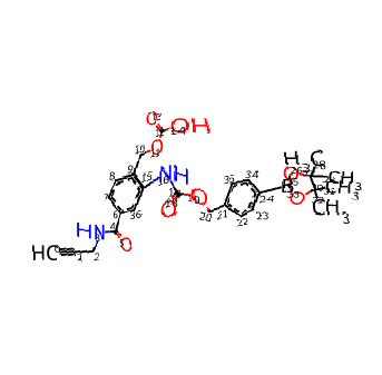 C#CCNC(=O)c1ccc(COC(=O)O)c(NC(=O)OCc2ccc(B3OC(C)(C)C(C)(C)O3)cc2)c1